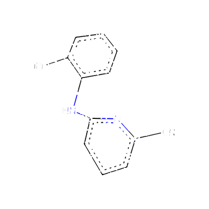 CC(C)c1ccccc1Nc1cccc(C#N)n1